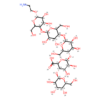 NCCO[C@H]1OC(CO)[C@H](O[C@H]2OC(CO)[C@@H](O[C@@H]3OC(CO)[C@@H](O[C@@H]4OC(C(=O)O)[C@@H](O[C@H]5OC(CO)[C@H](O)[C@H](O)C5O)C(O)[C@@H]4O)C(O)[C@@H]3O)[C@H](O)C2O)[C@H](O)C1O